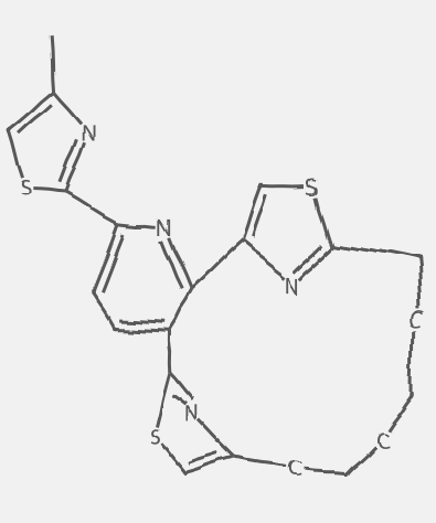 Cc1csc(-c2ccc3c(n2)-c2csc(n2)CCCCCCc2csc-3n2)n1